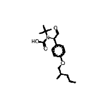 CCCC(C)COc1ccc([C@H](C=O)N(C(=O)O)C(C)(C)C)cc1